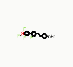 CCCC1CCC(CCc2ccc(-c3cc(F)c(OCF)c(F)c3)c(F)c2)CC1